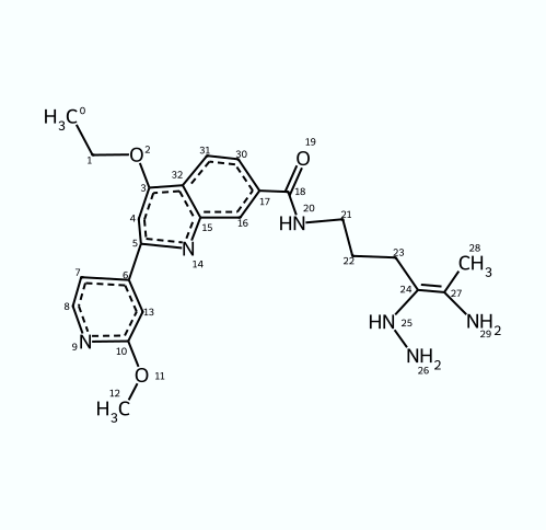 CCOc1cc(-c2ccnc(OC)c2)nc2cc(C(=O)NCCC/C(NN)=C(\C)N)ccc12